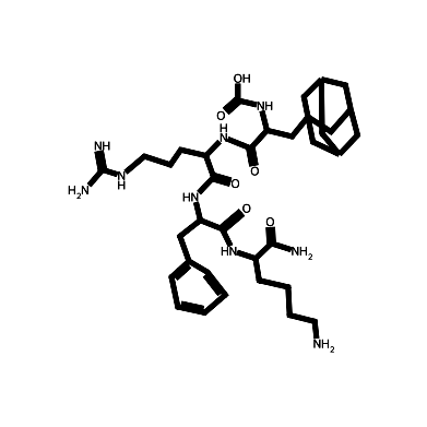 N=C(N)NCCCC(NC(=O)C(CC12CC3CC(CC(C3)C1)C2)NC(=O)O)C(=O)NC(Cc1ccccc1)C(=O)NC(CCCCN)C(N)=O